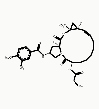 COc1ccc(C(=O)N[C@@H]2C[C@H]3C(=O)N[C@]4(C(=O)O)C[C@H]4/C=C\CCCCC[C@H](NC(=O)OC(C)(C)C)C(=O)N3C2)cc1C(F)(F)F